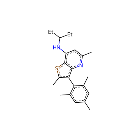 CCC(CC)Nc1cc(C)nc2c(-c3c(C)cc(C)cc3C)c(C)sc12